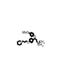 CSc1ccc(OC(CCN(C)C)c2ccc(OCCCN3CCCCC3)cc2)cc1